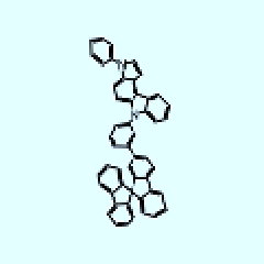 c1ccc(-n2ccc3c4c5ccccc5n(-c5cccc(-c6ccc7c(c6)C6(c8ccccc8-c8ccccc86)c6ccccc6-7)c5)c4ccc32)cc1